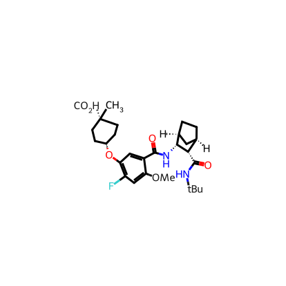 COc1cc(F)c(O[C@H]2CC[C@@](C)(C(=O)O)CC2)cc1C(=O)N[C@@H]1[C@H]2CC[C@H](C2)[C@@H]1C(=O)NC(C)(C)C